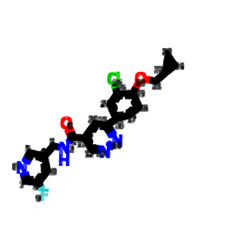 O=C(NCc1cncc(F)c1)c1cnnc(-c2ccc(OCC3CC3)c(Cl)c2)c1